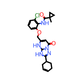 CC1(C(=O)Nc2c(Cl)cccc2OCC2=CC(=O)N3N=C(C4CC=CCC4)NC3N2)CC1